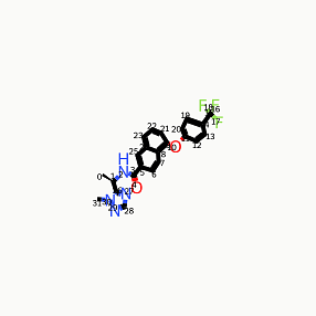 C[C@@H](NC(=O)c1ccc2c(Oc3ccc(C(F)(F)F)cc3)cccc2c1)c1ncnn1C